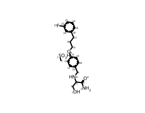 CS(=O)(=O)O.NC(=O)C(CO)NCc1ccc(OCCCc2cccc(F)c2)cc1